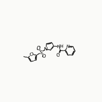 Cc1ccc(S(=O)(=O)n2ccc(NC(=O)c3ccccn3)c2)o1